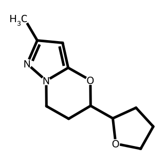 Cc1cc2n(n1)CCC(C1CCCO1)O2